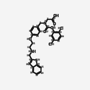 O=C(O)CN(Cc1ccc(OCCNCc2nc3ccccc3s2)cc1)C(=O)Oc1cc(Cl)ccc1Cl